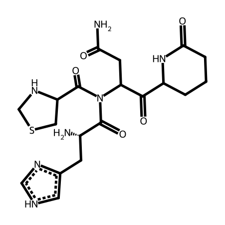 NC(=O)CC(C(=O)C1CCCC(=O)N1)N(C(=O)C1CSCN1)C(=O)[C@@H](N)Cc1c[nH]cn1